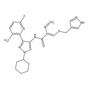 C=N/C(=C\SCc1cn[nH]c1)C(=O)Nc1cn(C2CCCCC2)nc1-c1nc(F)ccc1C